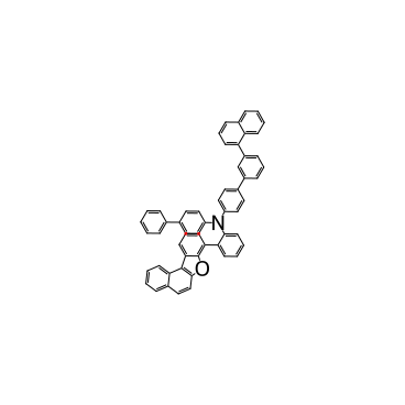 c1ccc(-c2ccc(N(c3ccc(-c4cccc(-c5cccc6ccccc56)c4)cc3)c3ccccc3-c3cccc4c3oc3ccc5ccccc5c34)cc2)cc1